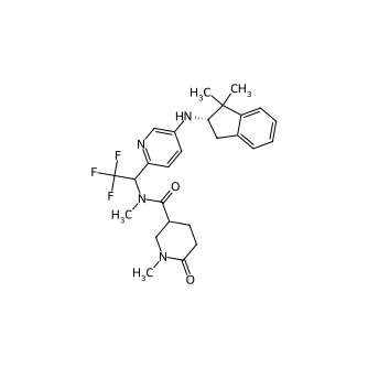 CN1CC(C(=O)N(C)C(c2ccc(N[C@H]3Cc4ccccc4C3(C)C)cn2)C(F)(F)F)CCC1=O